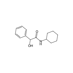 O=C(NC1CCCCC1)C(O)c1ccccc1